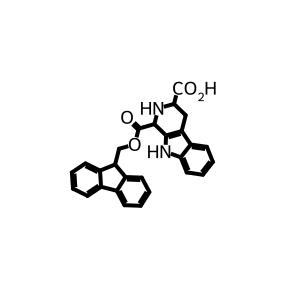 O=C(O)C1Cc2c([nH]c3ccccc23)C(C(=O)OCC2c3ccccc3-c3ccccc32)N1